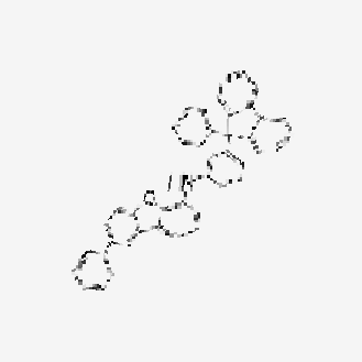 c1ccc(-c2ccc3oc4c(Nc5cccc(C6(c7ccccc7)c7ccccc7-c7ccccc76)c5)cccc4c3c2)cc1